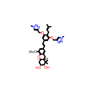 COc1cc(/C=C/c2cc(OCc3cn(C)nn3)c(CC=C(C)C)c(OCc3cn(C)nn3)c2)cc2c1O[C@]1(C)C[C@@H](O)[C@@H](O)C(C)(C)[C@H]1C2